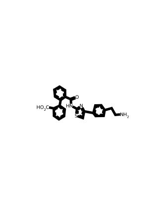 NCCc1ccc(-c2csc(NC(=O)c3ccccc3-c3ccccc3C(=O)O)n2)cc1